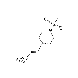 CS(=O)(=O)N1CCC(C=CC(=O)O)CC1